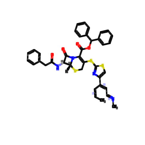 C\C=C/C(=C\C=N\C)c1csc(SC2=C(C(=O)OC(c3ccccc3)c3ccccc3)N3C(=O)[C@@H](NC(=O)Cc4ccccc4)[C@H]3SC2)n1